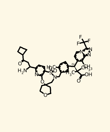 Cc1ccc([C@@H](c2ccn3c(C(F)(F)F)nnc3c2C)C(C)(C)C(=O)O)cc1CN1CC2(CCOCC2)Oc2nc(C(N)CC(=O)C3CCC3)ccc2S1(=O)=O